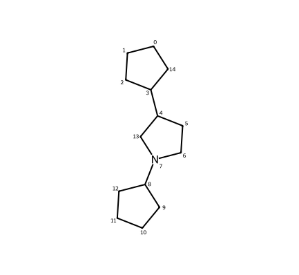 C1CCC(C2CCN(C3CCCC3)C2)C1